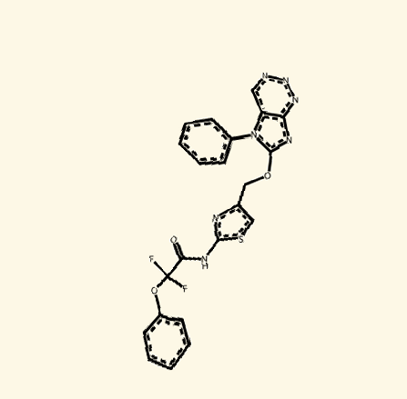 O=C(Nc1nc(COc2nc3nnncc3n2-c2ccccc2)cs1)C(F)(F)Oc1ccccc1